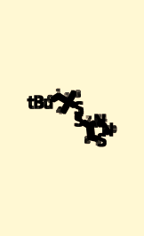 CC(C)(C)CC(C)(C)SSc1csnn1